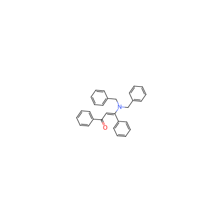 O=C(/C=C(\c1ccccc1)N(Cc1ccccc1)Cc1ccccc1)c1ccccc1